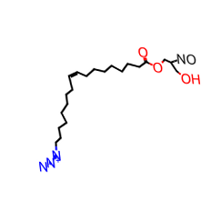 [N-]=[N+]=NCCCCCCCC/C=C\CCCCCCCC(=O)OCC(CO)N=O